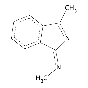 C/N=C1/N=C(C)c2ccccc21